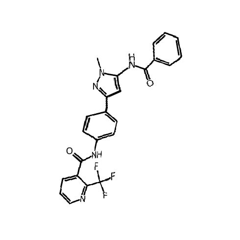 Cn1nc(-c2ccc(NC(=O)c3cccnc3C(F)(F)F)cc2)cc1NC(=O)c1ccccc1